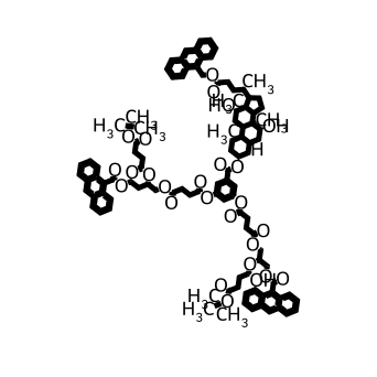 C[C@H](CCC(=O)OCc1c2ccccc2cc2ccccc12)C1CCC2[C@@]3(C)C(C[C@H](O)[C@]12C)[C@@]1(C)CC[C@@H](OC(=O)c2cc(OC(=O)CCC(=O)OCC(CCOC(=O)c4c5ccccc5cc5ccccc45)OC(=O)CCC(=O)OC(C)(C)C)cc(OC(=O)CCC(=O)OCC(COC(=O)c4c5ccccc5cc5ccccc45)OC(O)CCC(=O)OC(C)(C)C)c2)C[C@H]1C[C@H]3O